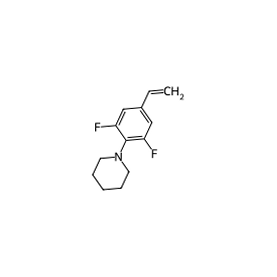 C=Cc1cc(F)c(N2CCCCC2)c(F)c1